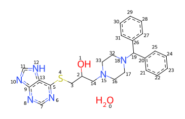 O.OC(CSc1ncnc2nc[nH]c12)CN1CCN(C(c2ccccc2)c2ccccc2)CC1